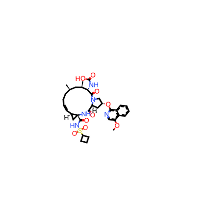 COc1cnc(O[C@@H]2C[C@H]3C(=O)N[C@]4(C(=O)NS(=O)(=O)C5CCC5)C[C@H]4/C=C\CC[C@@H](C)C[C@@H](C)[C@H](NC(=O)O)C(=O)N3C2)c2ccccc12